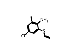 C=CSc1cc(Cl)cc(C)c1N